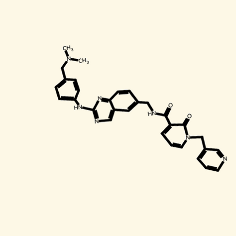 CN(C)Cc1ccc(Nc2ncc3cc(CNC(=O)c4cccn(Cc5cccnc5)c4=O)ccc3n2)cc1